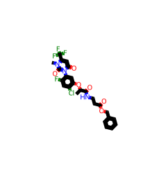 CC(Oc1cc(-n2c(=O)cc(C(F)(F)F)n(C)c2=O)c(F)cc1Cl)C(=O)NCCC(=O)OCc1ccccc1